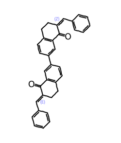 O=C1/C(=C\c2ccccc2)CCc2ccc(-c3ccc4c(c3)C(=O)/C(=C/c3ccccc3)CC4)cc21